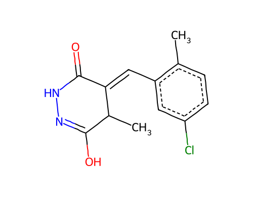 Cc1ccc(Cl)cc1/C=C1/C(=O)NN=C(O)C1C